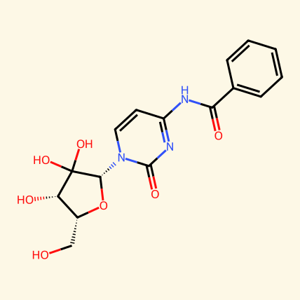 O=C(Nc1ccn([C@@H]2O[C@H](CO)[C@H](O)C2(O)O)c(=O)n1)c1ccccc1